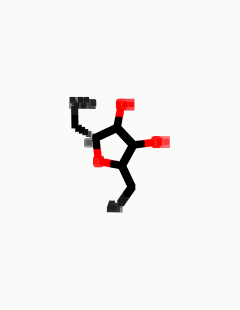 CNC[C@H]1OC(CC(C)=O)C(O)C1O